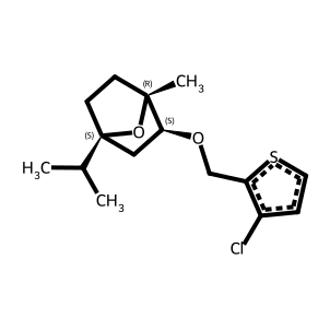 CC(C)[C@@]12CC[C@@](C)(O1)[C@@H](OCc1sccc1Cl)C2